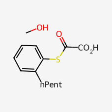 CCCCCc1ccccc1SC(=O)C(=O)O.CO